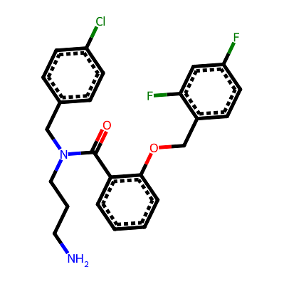 NCCCN(Cc1ccc(Cl)cc1)C(=O)c1ccccc1OCc1ccc(F)cc1F